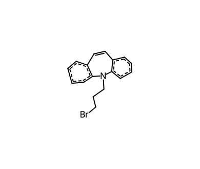 BrCCCN1c2ccccc2C=Cc2ccccc21